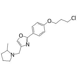 CC1CCCN1Cc1coc(-c2ccc(OCCCCl)cc2)n1